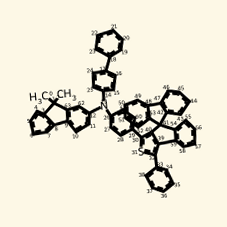 CC1(C)c2ccccc2-c2ccc(N(c3ccc(-c4ccccc4)cc3)c3ccc(-c4sc(-c5ccccc5)c5c4C4(c6ccccc6-c6ccccc64)c4ccccc4-5)cc3)cc21